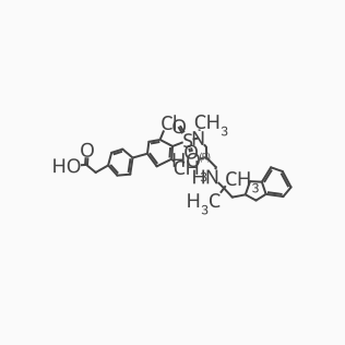 Cc1cc(-c2ccc(CC(=O)O)cc2)cc(Cl)c1S(=O)(=O)N(C)C[C@H](O)CNC(C)(C)CC1Cc2ccccc2C1